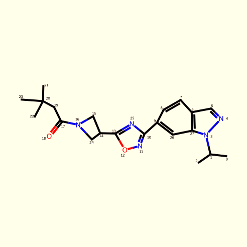 CC(C)n1ncc2ccc(-c3noc(C4CN(C(=O)CC(C)(C)C)C4)n3)cc21